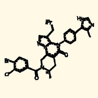 Cc1nc[nH]c1-c1ccc(-n2c(=O)c3c(n4ncc(CC(C)C)c24)CN(C(=O)c2ccc(Br)c(Cl)c2)[C@H](C)C3)cc1